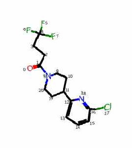 O=C(CCC(F)(F)F)N1CCC(c2cccc(Cl)n2)CC1